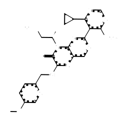 CCSc1ccc(CNc2nc3cnc(-c4c(OC)ncnc4C4CC4)nc3n([C@H](C)COC)c2=O)nc1